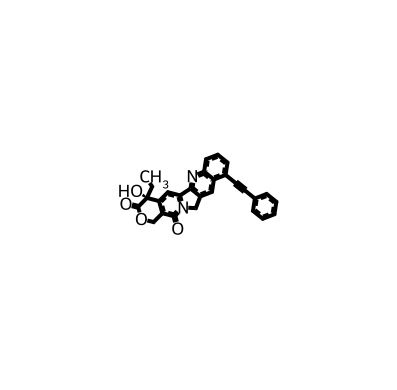 CC[C@@]1(O)C(=O)OCc2c1cc1n(c2=O)Cc2cc3c(C#Cc4ccccc4)cccc3nc2-1